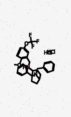 COc1ccc(OC(F)(F)F)cc1CNC1CCC2CCC1(c1ccccc1)N2Cc1ccccc1.Cl.Cl